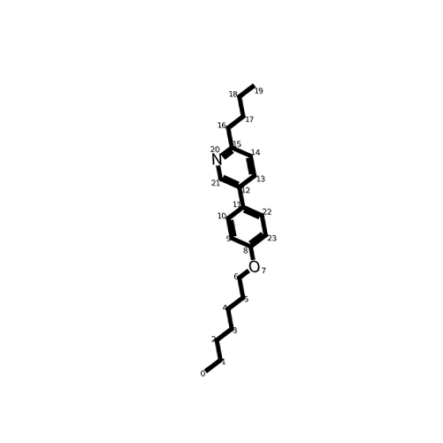 CCCCCCCOc1ccc(-c2ccc(CCCC)nc2)cc1